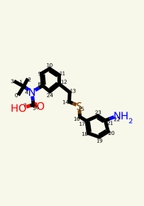 CC(C)(C)N(C(=O)O)c1cccc(CCSCc2cccc(N)c2)c1